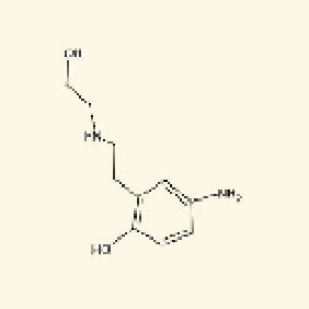 Nc1ccc(O)c(CCNCCO)c1